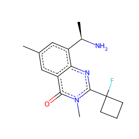 Cc1cc([C@@H](C)N)c2nc(C3(F)CCC3)n(C)c(=O)c2c1